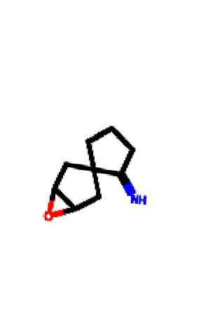 N=C1CCCC12CC1OC1C2